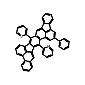 c1ccc(-c2cc3c4ccccc4c4cc5c(-c6ccccn6)c6c7cccc8c9ccccc9cc(c6c(-c6ccccn6)c5c(c2)c34)c87)cc1